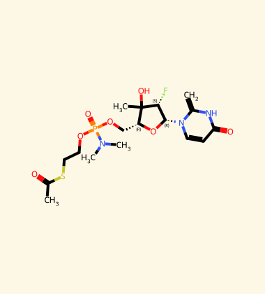 C=C1NC(=O)C=CN1[C@@H]1O[C@H](COP(=O)(OCCSC(C)=O)N(C)C)C(C)(O)[C@@H]1F